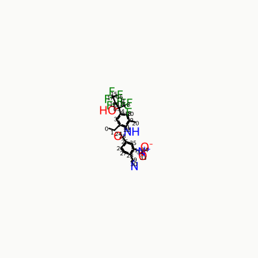 CCc1cc(C(O)(C(F)(F)F)C(F)(F)C(F)(F)F)cc(C)c1NC(=O)c1ccc(C#N)c([N+](=O)[O-])c1